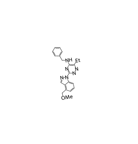 CCc1nnc(-n2ncc3c(COC)cccc32)nc1NCc1ccccc1